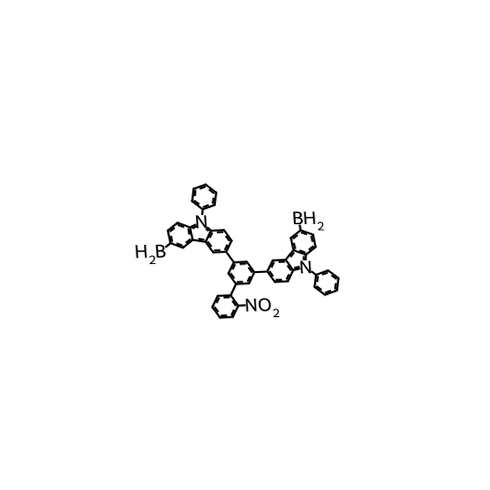 Bc1ccc2c(c1)c1cc(-c3cc(-c4ccc5c(c4)c4cc(B)ccc4n5-c4ccccc4)cc(-c4ccccc4[N+](=O)[O-])c3)ccc1n2-c1ccccc1